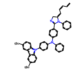 C=C/C=C\C=C1/CN=C(c2ccc(N(c3ccccc3)c3ccc(-n4c5ccc(C(C)(C)C)cc5c5cc(C(C)(C)C)ccc54)cc3)cc2)N1c1ccccc1